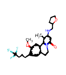 COc1cc2c(cc1CCCC(F)(F)F)CCn1c-2c(C)c(NCC2CCCO2)cc1=O